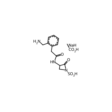 CC(=O)O.NCc1ccccc1CC(=O)NC1CN(S(=O)(=O)O)C1=O.[NaH]